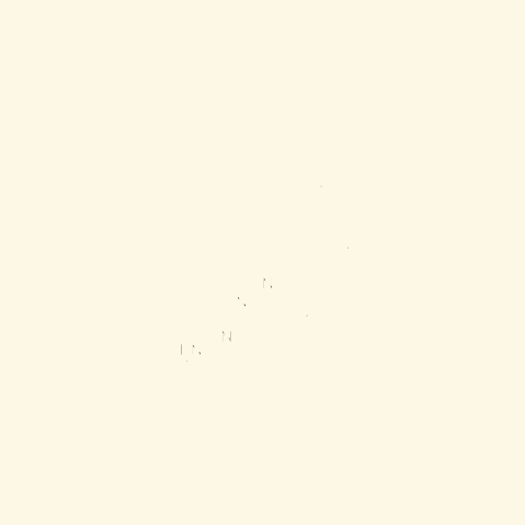 NN=NN1CCCc2ccccc21